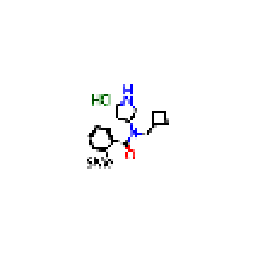 CSc1ccccc1C(=O)N(CC1CCC1)[C@H]1CCNC1.Cl